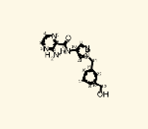 Nc1nccnc1C(=O)Nc1cnn(Cc2cccc(CO)c2)c1